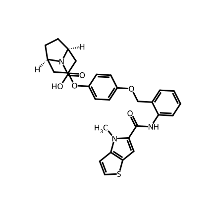 Cn1c(C(=O)Nc2ccccc2COc2ccc(OC3C[C@H]4CC[C@@H](C3)N4C(=O)O)cc2)cc2sccc21